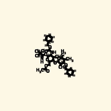 CC(=O)OCC1OC(OC(=N)C(Cl)(Cl)Cl)C(NC(=O)OCc2ccccc2)[C@@H](C)[C@@H]1O[C@@H]1OC(C)[C@@H](C)[C@@H](OCc2ccccc2)C1C